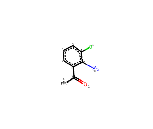 CCCC(=O)c1cccc(Cl)c1N